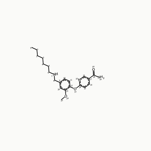 CCCCCCCNCc1ccc(Oc2ccc(C(N)=O)cn2)c(OC)c1